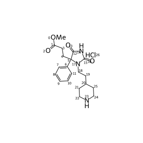 COC(=O)CCC1(c2ccccc2)C(=O)NC(=O)N1CCC1CCNCC1.Cl